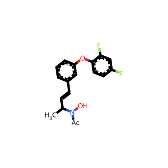 CC(=O)N(O)C(C)C=Cc1cccc(Oc2ccc(F)cc2F)c1